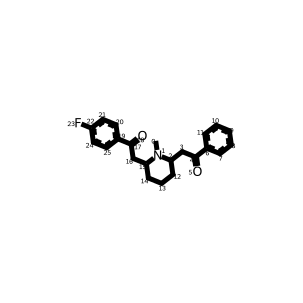 CN1C(CC(=O)c2ccccc2)CCCC1CC(=O)c1ccc(F)cc1